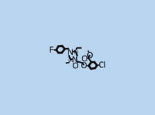 CC[C@H]1CN(C(=O)COc2ccc(Cl)cc2C(=O)OC)[C@H](CC)CN1Cc1ccc(F)cc1